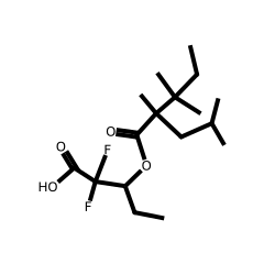 CCC(OC(=O)C(C)(CC(C)C)C(C)(C)CC)C(F)(F)C(=O)O